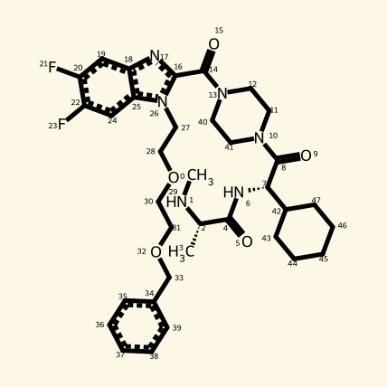 CN[C@@H](C)C(=O)N[C@H](C(=O)N1CCN(C(=O)c2nc3cc(F)c(F)cc3n2CCOCCOCc2ccccc2)CC1)C1CCCCC1